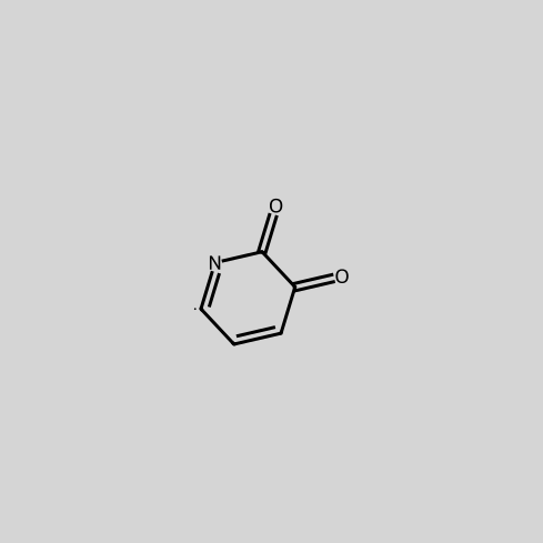 O=C1C=C[C]=NC1=O